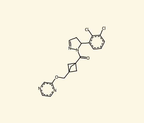 O=C(N1N=CCC1c1cccc(Cl)c1Cl)C12CC(COc3cnccn3)(C1)C2